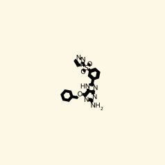 Nc1nc(OCC2CCCCC2)c2[nH]c(-c3cccc(S(=O)(=O)n4ccnn4)c3)nc2n1